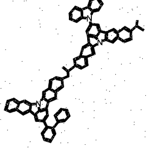 CC(C)c1ccc2cc3c(cc2c1)c1cc(-n2c4ccccc4c4ccccc42)cc2c4cc5cc(C(C)Cc6ccc7cc8c(cc7c6)c6cc(-c7ccccc7-c7ccccc7)cc7c9cc%10ccccc%10cc9n8c76)ccc5cc4n3c12